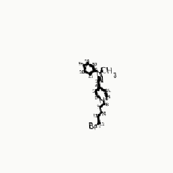 CN(/N=C/c1cc[n+](CCCCCBr)cc1)c1ccccc1